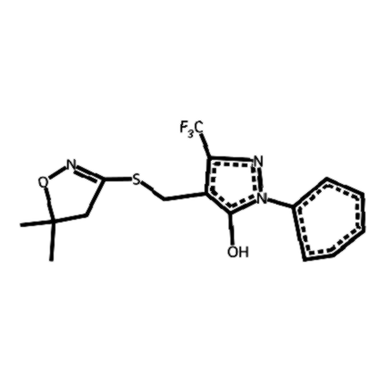 CC1(C)CC(SCc2c(C(F)(F)F)nn(-c3ccccc3)c2O)=NO1